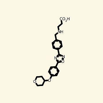 O=C(O)CCNCc1ccc(-c2noc(-c3ccc(OC4CCOCC4)cc3)n2)cc1